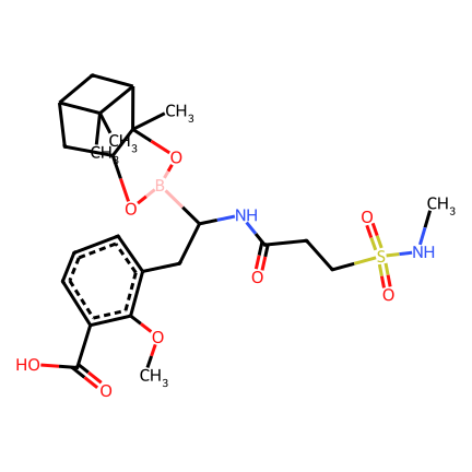 CNS(=O)(=O)CCC(=O)NC(Cc1cccc(C(=O)O)c1OC)B1OC2CC3CC(C3(C)C)C2(C)O1